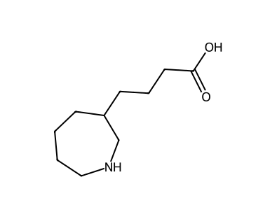 O=C(O)CCCC1CCCCNC1